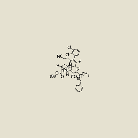 C[C@@H](OCc1ccccc1)c1nc2c(F)c(-c3cccc(Cl)c3Cl)c(CCC#N)cc2c(N[C@H]2[C@@H]3C[C@H]2N(C(=O)OC(C)(C)C)C3)c1C(=O)O